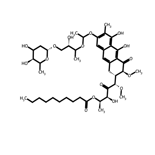 CCCCCCCCCC(=O)O[C@H](C)[C@H](O)C(=O)[C@@H](OC)[C@@H]1Cc2cc3cc(OC(C)OC(C)[C@@H](O)CO[C@H]4CC(O)[C@H](O)C(C)O4)c(C)c(O)c3c(O)c2C(=O)[C@H]1OC